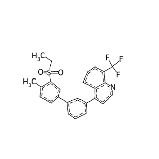 CCS(=O)(=O)c1cc(-c2cccc(-c3ccnc4c(C(F)(F)F)cccc34)c2)ccc1C